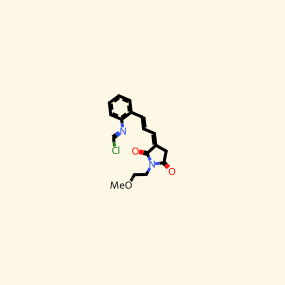 COCCN1C(=O)C/C(=C/C=C/c2ccccc2/N=C/Cl)C1=O